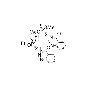 CCOP(=S)(OCC)SCn1nnc2ccccc2c1=O.COP(=S)(OC)SCn1nnc2ccccc2c1=O